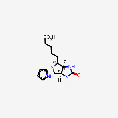 O=C(O)CCCC[C@@H]1SC[C@@H]2NC(=O)N[C@@H]21.c1cc[nH]c1